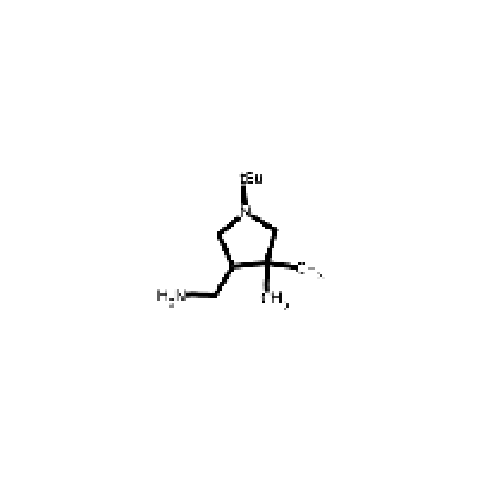 CC1(C)CN(C(C)(C)C)CC1CN